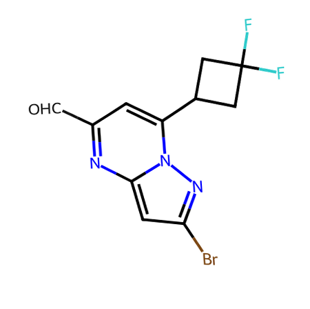 O=Cc1cc(C2CC(F)(F)C2)n2nc(Br)cc2n1